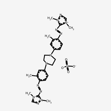 Cc1cc(N2CCN(c3ccc(/N=N/c4n(C)nc[n+]4C)c(C)c3)CC2)ccc1/N=N/c1n(C)nc[n+]1C.O=S(=O)([O-])[O-]